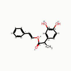 CC(C(=O)OC=Cc1ccccc1)c1ccc(O)c(O)c1